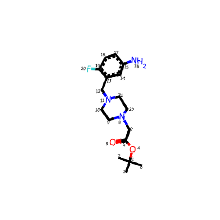 CC(C)(C)OC(=O)CN1CCN(Cc2cc(N)ccc2F)CC1